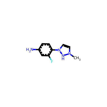 CN1C=CN(c2ccc(N)cc2F)N1